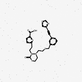 O=C(O)c1ccc(CCN2C(=O)SCCN2CCSCc2cccc(C#Cc3cscn3)c2)s1